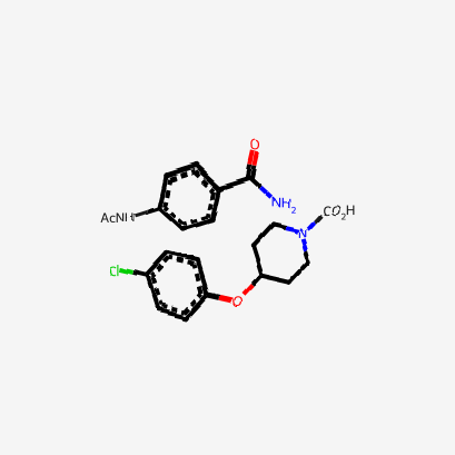 CC(=O)Nc1ccc(C(N)=O)cc1.O=C(O)N1CCC(Oc2ccc(Cl)cc2)CC1